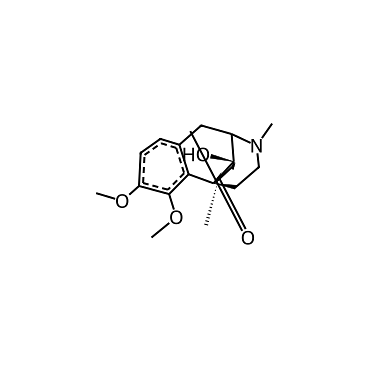 COc1ccc2c(c1OC)[C@]13CCN(C)C(C2)[C@]1(O)CCC(=O)[C@H]3C